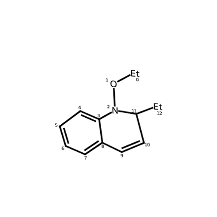 CCON1c2ccccc2C=CC1CC